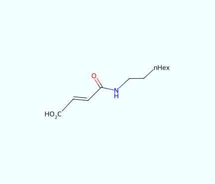 CCCCCCCCNC(=O)C=CC(=O)O